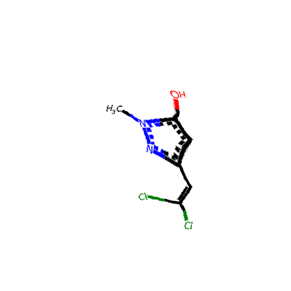 Cn1nc(C=C(Cl)Cl)cc1O